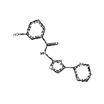 O=C(Nc1nc(-c2ccccn2)cs1)c1cccc(O)c1